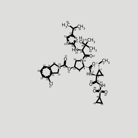 CC[C@@H]1C[C@]1(NC(=O)[C@@H]1C[C@@H](OC(=O)N2Cc3cccc(Cl)c3C2)CN1C(=O)[C@@H](Nc1ncc(C(C)C)s1)C(C)(C)C)C(=O)NS(=O)(=O)C1CC1